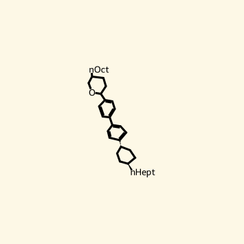 CCCCCCCCC1CCC(c2ccc(-c3ccc([C@H]4CC[C@H](CCCCCCC)CC4)cc3)cc2)OC1